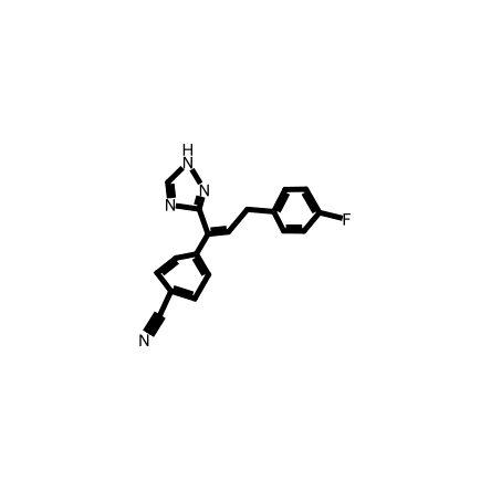 N#Cc1ccc(C(=CCc2ccc(F)cc2)c2nc[nH]n2)cc1